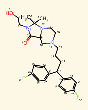 CC1(C)N(CCO)C(=O)C2CN(CCCC(c3ccc(F)cc3)c3ccc(F)cc3)CCN21